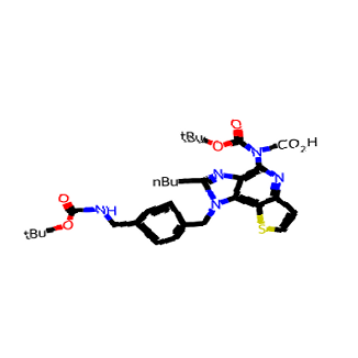 CCCCc1nc2c(N(C(=O)O)C(=O)OC(C)(C)C)nc3ccsc3c2n1Cc1ccc(CNC(=O)OC(C)(C)C)cc1